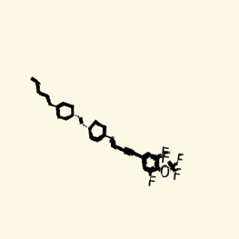 CCCCC[C@H]1CC[C@H](CC[C@H]2CC[C@H](C=CC#Cc3cc(F)c(OC(F)(F)F)c(F)c3)CC2)CC1